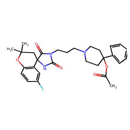 CC(=O)OC1(c2ccccc2)CCN(CCCN2C(=O)NC3(CC(C)(C)Oc4ccc(F)cc43)C2=O)CC1